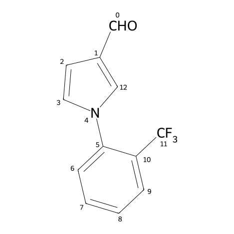 O=Cc1ccn(-c2ccccc2C(F)(F)F)c1